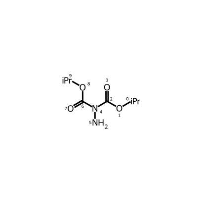 CC(C)OC(=O)N(N)C(=O)OC(C)C